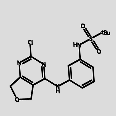 CC(C)(C)S(=O)(=O)Nc1cccc(Nc2nc(Cl)nc3c2COC3)c1